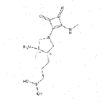 CNc1c(N2C[C@H](CCCB(O)O)[C@@](C)(N)C2)c(=O)c1=O